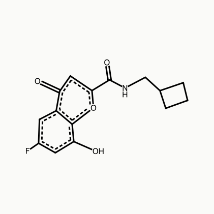 O=C(NCC1CCC1)c1cc(=O)c2cc(F)cc(O)c2o1